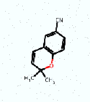 CC1(C)C=[C]c2cc(C#N)ccc2O1